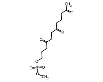 COS(=O)(=O)OCCCC(=O)CCC(=O)CCCC(C)=O